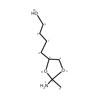 CC1(N)OCC(CCCCO)O1